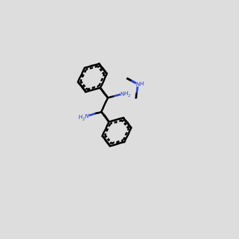 CNC.NC(c1ccccc1)C(N)c1ccccc1